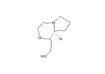 OCC1OCCN2CCC[C@@H]12